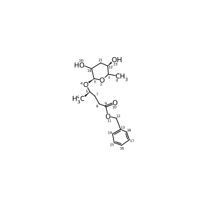 CC1O[C@@H](O[C@H](C)CCC(=O)OCc2ccccc2)C(O)C[C@H]1O